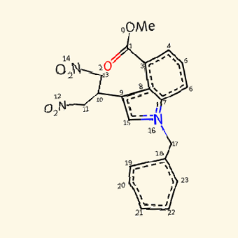 COC(=O)c1cccc2c1c(C(C[N+](=O)[O-])C[N+](=O)[O-])cn2Cc1ccccc1